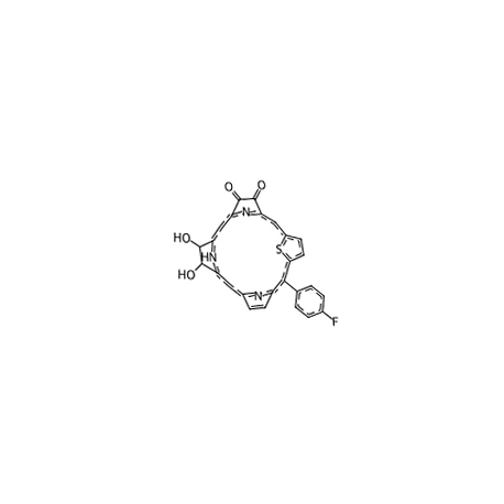 O=C1C(=O)c2cc3ccc(s3)c(-c3ccc(F)cc3)c3nc(cc4[nH]c(cc1n2)C(O)C4O)C=C3